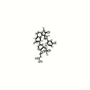 CC(C)NCCOc1ncc(-c2cc3c4c(cnc3cc2F)N(C)C(=O)C42CN(c3cccc(F)c3)C2)cc1NS(C)(=O)=O